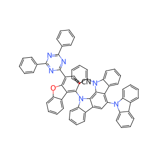 N#Cc1cc(-c2nc(-c3ccccc3)nc(-c3ccccc3)n2)c2oc3ccccc3c2c1-n1c2ccccc2c2cc(-n3c4ccccc4c4ccccc43)c3c4ccccc4n(-c4ccccc4)c3c21